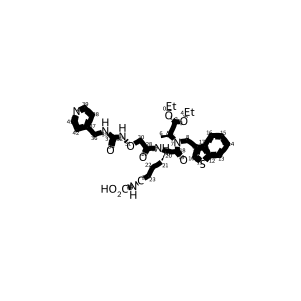 CCOC(OCC)[C@H](C)N(Cc1csc2ccccc12)C(=O)[C@H](CCCCNC(=O)O)NC(=O)CONC(=O)NCc1ccncc1